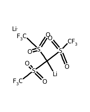 [Li].[Li][C](S(=O)(=O)C(F)(F)F)(S(=O)(=O)C(F)(F)F)S(=O)(=O)C(F)(F)F